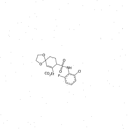 CCOC(=O)C1=CC2(CCC1S(=O)(=O)Nc1c(F)cccc1Cl)OCCO2